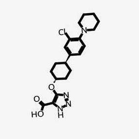 O=C(O)c1[nH]nnc1O[C@H]1CC[C@H](c2ccc(N3CCCCC3)c(Cl)c2)CC1